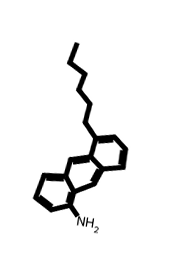 CCCCCCc1cccc2cc3c(N)cccc3cc12